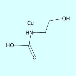 O=C(O)NCCO.[Cu]